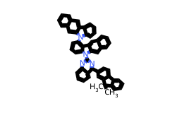 CC1(C)c2ccccc2-c2ccc(-c3nc(-n4c5cc6ccccc6cc5c5c(-n6c7ccccc7c7cc8ccccc8cc76)cccc54)nc4ccccc34)cc21